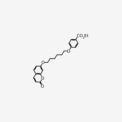 CCOC(=O)c1ccc(OCCCCCCOc2ccc3ccc(=O)oc3c2)cc1